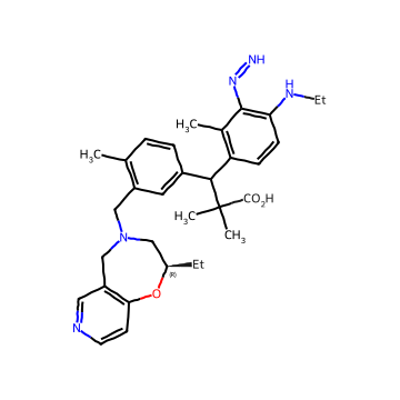 CCNc1ccc(C(c2ccc(C)c(CN3Cc4cnccc4O[C@H](CC)C3)c2)C(C)(C)C(=O)O)c(C)c1N=N